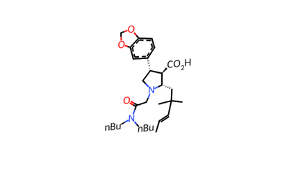 CC=CC(C)(C)C[C@H]1[C@H](C(=O)O)[C@@H](c2ccc3c(c2)OCO3)CN1CC(=O)N(CCCC)CCCC